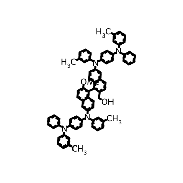 COc1ccc2cc(N(c3ccc(N(c4ccccc4)c4cccc(C)c4)cc3)c3cccc(C)c3)ccc2c1-c1c(CO)ccc2cc(N(c3ccc(N(c4ccccc4)c4cccc(C)c4)cc3)c3cccc(C)c3)ccc12